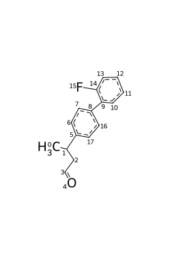 CC(CC=O)c1ccc(-c2ccccc2F)cc1